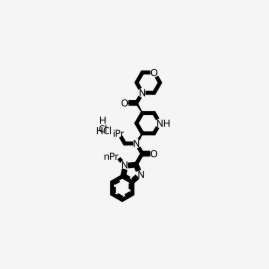 CCCn1c(C(=O)N(CC(C)C)[C@@H]2CNC[C@H](C(=O)N3CCOCC3)C2)nc2ccccc21.Cl.Cl